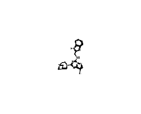 Brc1cnn2c(NCc3nc4ccccc4[nH]3)nc(N3C=C4CN(CC3)C4)nc12